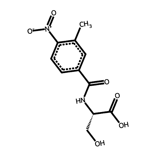 Cc1cc(C(=O)N[C@@H](CO)C(=O)O)ccc1[N+](=O)[O-]